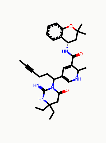 CC#CCCC(C1=CNC(C)C(C(=O)N[C@H]2CC(C)(C)Oc3ccccc32)=C1)N1C(=N)NC(CC)(CC)CC1=O